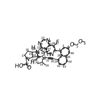 COCOc1cc(-c2ncc3c(N4C[C@@H]5[C@H]4CCN5C(=O)O)ncnc3c2F)c2c(C#C[Si](C(C)C)(C(C)C)C(C)C)cccc2c1